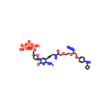 [N-]=[N+]=NC(COc1ccc(NC2CCC2)cc1)OCCOCC(=O)NCC#Cc1cn([C@H]2CC[C@@H](COP(=O)(O)OP(=O)(O)OP(=O)(O)O)O2)c(=O)nc1N